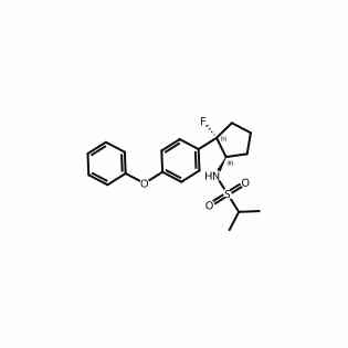 CC(C)S(=O)(=O)N[C@@H]1CCC[C@]1(F)c1ccc(Oc2ccccc2)cc1